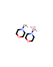 CN1CCOCC1.CN1CCOCC1.O